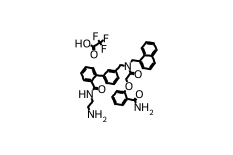 NCCNC(=O)c1ccccc1-c1cccc(CN(Cc2cccc3ccccc23)C(=O)COc2ccccc2C(N)=O)c1.O=C(O)C(F)(F)F